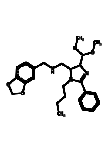 CCCCN1C(c2ccccc2)=NC(C(OC)OC)C1CNCc1ccc2c(c1)OCO2